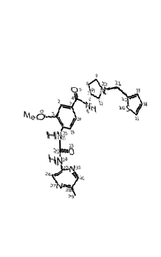 COc1cc(C(=O)N[C@@H]2CCN(Cc3cccs3)C2)ccc1NC(=O)Nc1cnc(C)cn1